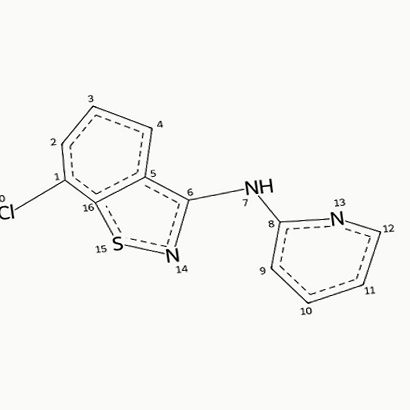 Clc1cccc2c(Nc3ccccn3)nsc12